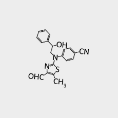 Cc1sc(N(CC(O)c2ccccc2)c2ccc(C#N)cc2)nc1C=O